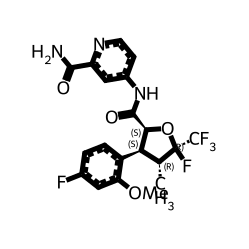 COc1cc(F)ccc1[C@H]1[C@@H](C(=O)Nc2ccnc(C(N)=O)c2)O[C@](F)(C(F)(F)F)[C@@H]1C